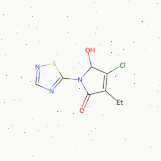 CCC1=C(Cl)C(O)N(c2ncns2)C1=O